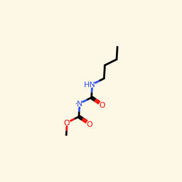 CCCCNC(=O)[N]C(=O)OC